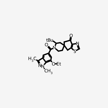 CCOc1cc(C(=O)N2CCC3(CC(=O)c4ncsc4C3)CC2C(C)(C)C)cc2c(C)nn(C)c12